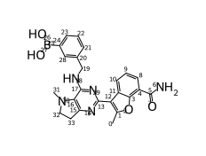 Cc1oc2c(C(N)=O)cccc2c1-c1nc2c(c(NCc3cccc(B(O)O)c3)n1)N(C)CC2